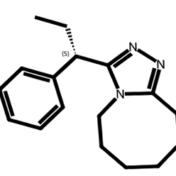 CC[C@@H](c1ccccc1)c1nnc2n1CCCCCC2